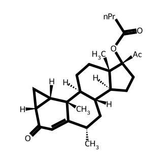 CCCC(=O)O[C@]1(C(C)=O)CC[C@H]2[C@@H]3C[C@H](C)C4=CC(=O)[C@@H]5C[C@@H]5[C@]4(C)[C@H]3CC[C@@]21C